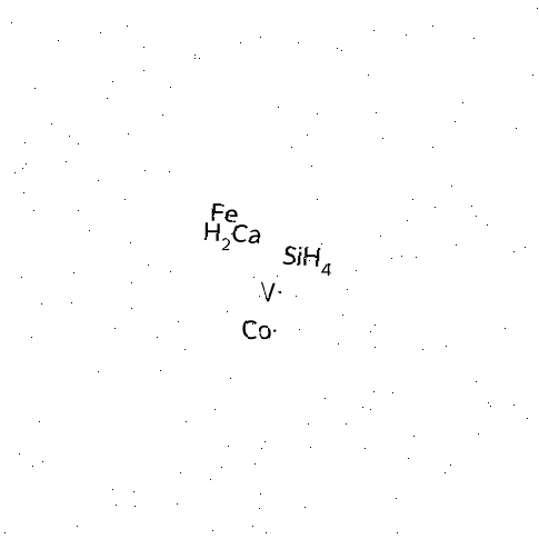 [CaH2].[Co].[Fe].[SiH4].[V]